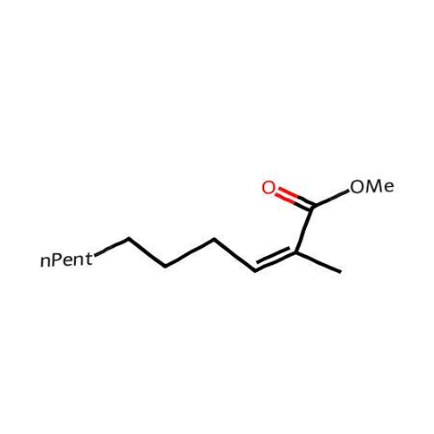 CCCCCCCCC=C(C)C(=O)OC